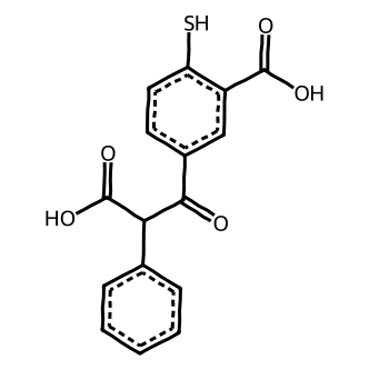 O=C(O)c1cc(C(=O)C(C(=O)O)c2ccccc2)ccc1S